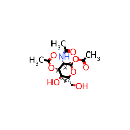 CC(=O)N[C@@H]1[C@@H](OC(C)=O)O[C@H](CO)[C@@H](O)[C@@H]1OC(C)=O